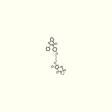 COc1cc2c(cc1OCCCCOc1ccc(-n3c(-c4ccccc4)nc4ccccc4c3=O)cc1)N=C[C@@H]1CCCN1C2=O